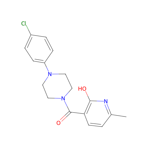 Cc1ccc(C(=O)N2CCN(c3ccc(Cl)cc3)CC2)c(O)n1